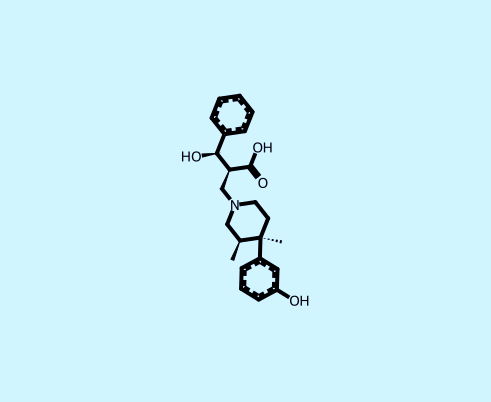 C[C@H]1CN(C[C@H](C(=O)O)[C@@H](O)c2ccccc2)CC[C@@]1(C)c1cccc(O)c1